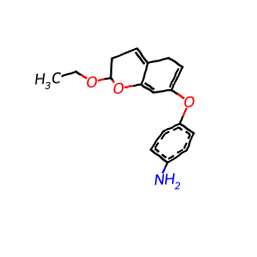 CCOC1CC=C2CC=C(Oc3ccc(N)cc3)C=C2O1